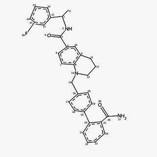 CC(NC(=O)c1ccc2c(c1)CCCN2Cc1ccc(-c2ccccc2C(N)=O)cc1)c1cccc(F)c1